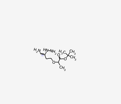 CC(OCC/C(=C/N)NN)C(=O)OC(C)(C)C